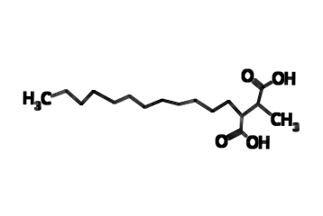 CCCCCCCCCCCCC(C(=O)O)C(C)C(=O)O